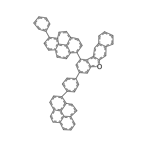 c1ccc(-c2ccc3ccc4c(-c5cc(-c6ccc(-c7ccc8ccc9cccc%10ccc7c8c9%10)cc6)cc6oc7cc8ccccc8cc7c56)ccc5ccc2c3c54)cc1